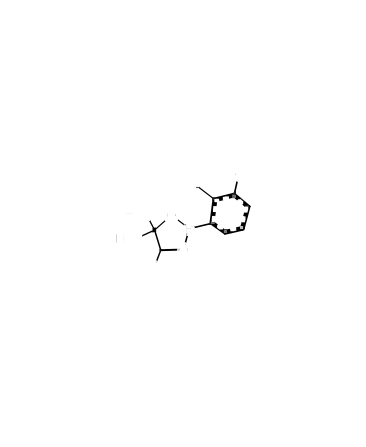 CC1OB(c2cccc(Cl)c2Cl)OC1(C)C